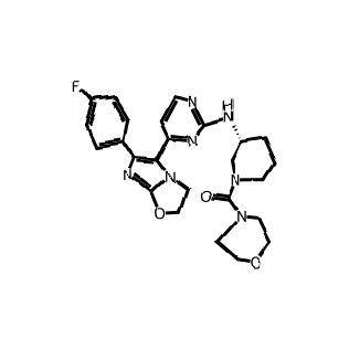 O=C(N1CCOCC1)N1CCC[C@@H](Nc2nccc(-c3c(-c4ccc(F)cc4)nc4n3CCO4)n2)C1